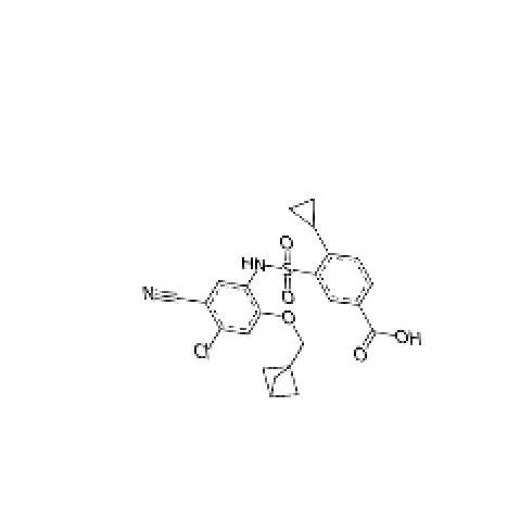 N#Cc1cc(NS(=O)(=O)c2cc(C(=O)O)ccc2C2CC2)c(OCC23CC(C2)C3)cc1Cl